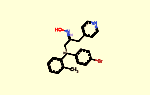 Cc1ccccc1[C@H](C/C(Cc1ccncc1)=N\O)c1ccc(Br)cc1